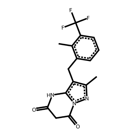 Cc1nn2c(c1Cc1cccc(C(F)(F)F)c1C)NC(=O)CC2=O